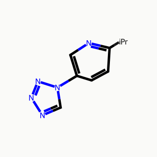 CC(C)c1ccc(-n2cnnn2)cn1